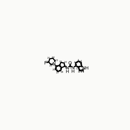 O=C(Nc1cccc2[nH]ncc12)NC1CCc2c1cccc2N1CCCC(F)C1